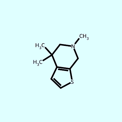 CN1Cc2sccc2C(C)(C)C1